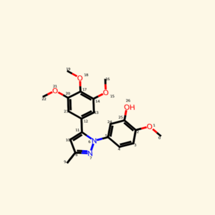 COc1ccc(-n2nc(C)cc2-c2cc(OC)c(OC)c(OC)c2)cc1O